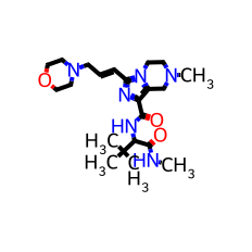 CNC(=O)C(NC(=O)c1nc(C=CCN2CCOCC2)n2c1CN(C)CC2)C(C)(C)C